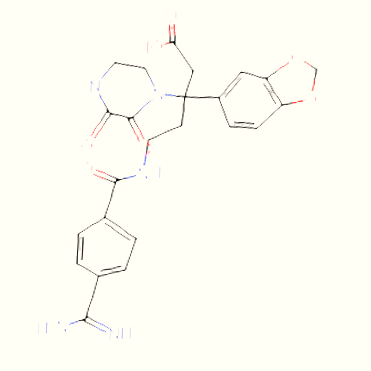 N=C(N)c1ccc(C(=O)NCCC(CC(=O)O)(c2ccc3c(c2)OCO3)N2CCNC(=O)C2=O)cc1